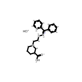 Cl.O=C(O)C1CCCN(CCO/N=C(/c2ccccc2)c2ccccn2)C1